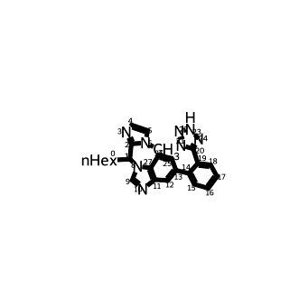 CCCCCCC(c1nccn1C)n1cnc2cc(-c3ccccc3-c3nn[nH]n3)ccc21